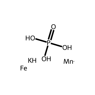 O=P(O)(O)O.[Fe].[KH].[Mn]